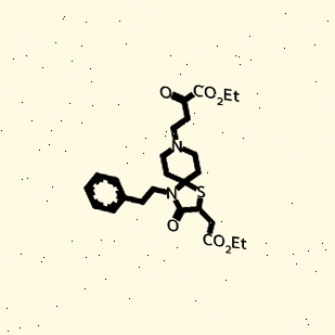 CCOC(=O)CC1SC2(CCN(CCC(=O)C(=O)OCC)CC2)N(CCc2ccccc2)C1=O